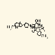 Cc1ccn2nc(-c3ccc(-n4cc(C(=O)O)c(N(C(=O)[C@H]5CC[C@H](C)CC5)C(C)C)n4)cc3)cc2n1